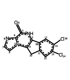 O=c1[nH]c2c(n3ccnc13)Cc1cc(Cl)c(Cl)cc1-2